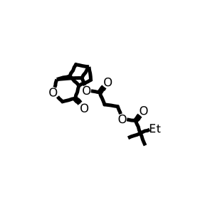 CCC(C)(C)C(=O)OCCC(=O)OC1C2CC3C(=O)COC1C3C2